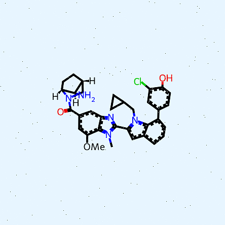 COc1cc(C(=O)N2C[C@H]3CC[C@@H]2[C@@H]3N)cc2nc(-c3cc4cccc(-c5ccc(O)c(Cl)c5)c4n3CC3CC3)n(C)c12